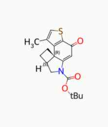 Cc1csc2c1[C@@]13CC[C@@H]1CN(C(=O)OC(C)(C)C)C3=CC2=O